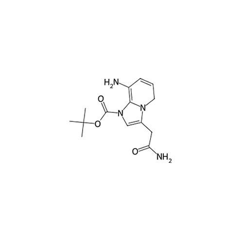 CC(C)(C)OC(=O)N1C=C(CC(N)=O)N2CC=CC(N)=C12